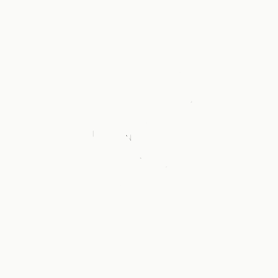 O=CN(c1[c]cccc1)C1CCCC1